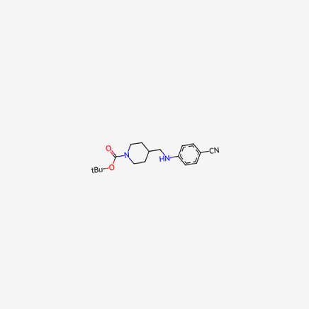 CC(C)(C)OC(=O)N1CCC(CNc2ccc(C#N)cc2)CC1